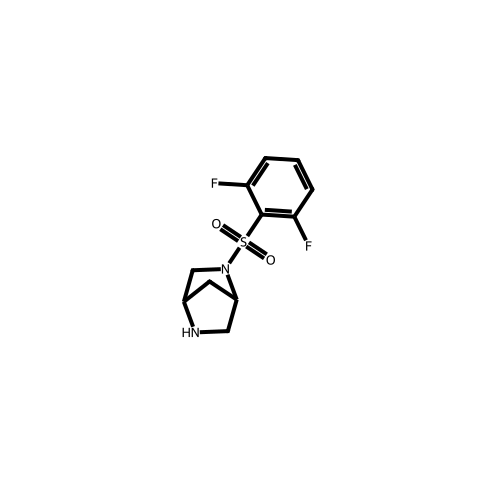 O=S(=O)(c1c(F)cccc1F)N1CC2CC1CN2